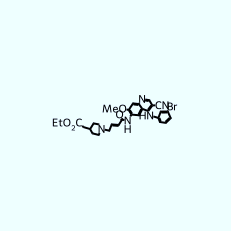 CCOC(=O)CC1CCN(CC=CC(=O)Nc2cc3c(Nc4cccc(Br)c4)c(C#N)cnc3cc2OC)CC1